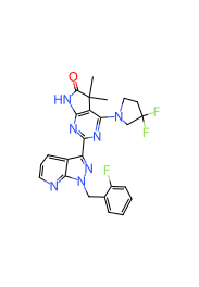 CC1(C)C(=O)Nc2nc(-c3nn(Cc4ccccc4F)c4ncccc34)nc(N3CCC(F)(F)C3)c21